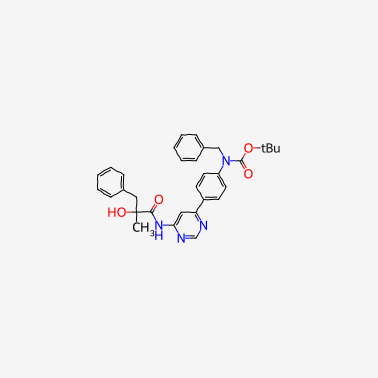 CC(C)(C)OC(=O)N(Cc1ccccc1)c1ccc(-c2cc(NC(=O)C(C)(O)Cc3ccccc3)ncn2)cc1